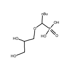 CCCCC(OCC(O)CO)P(=O)(O)O